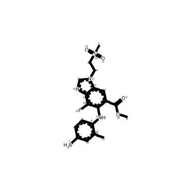 Bc1ccc(Nc2c(C(=O)OC)cc3c(ncn3CCS(C)(=O)=O)c2F)c(C)c1